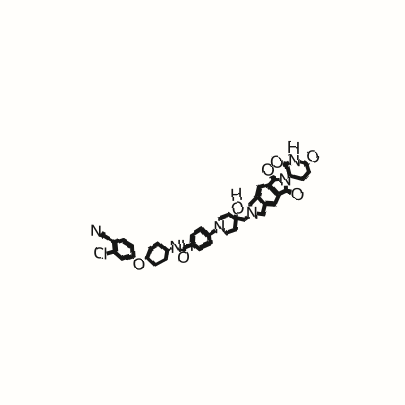 N#Cc1ccc(O[C@H]2CC[C@H](NC(=O)c3ccc(N4CCC(O)(CN5Cc6cc7c(cc6C5)C(=O)N(C5CCC(=O)NC5=O)C7=O)CC4)cc3)CC2)cc1Cl